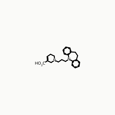 O=C(O)C1=CCCN(CCCN2c3ccccc3CCc3ccccc32)C1